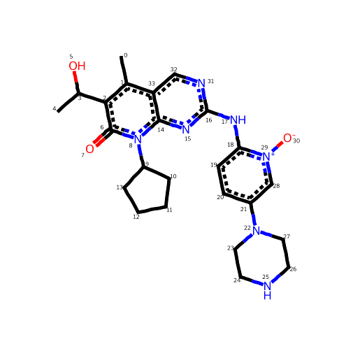 Cc1c(C(C)O)c(=O)n(C2CCCC2)c2nc(Nc3ccc(N4CCNCC4)c[n+]3[O-])ncc12